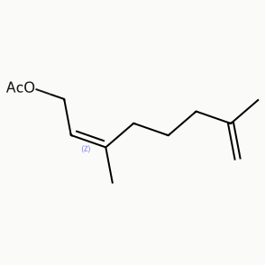 C=C(C)CCC/C(C)=C\COC(C)=O